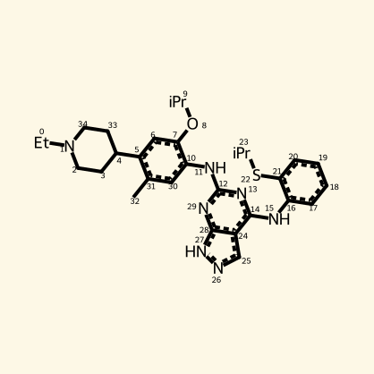 CCN1CCC(c2cc(OC(C)C)c(Nc3nc(Nc4ccccc4SC(C)C)c4cn[nH]c4n3)cc2C)CC1